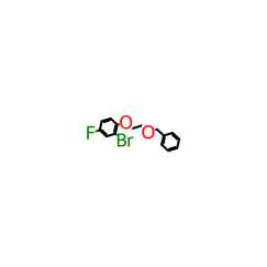 Fc1ccc(OCCOCc2ccccc2)c(Br)c1